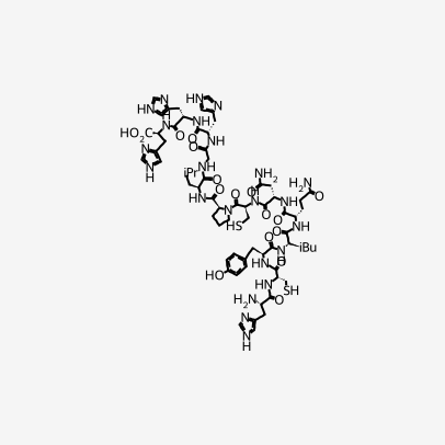 CC[C@H](C)[C@H](NC(=O)[C@H](Cc1ccc(O)cc1)NC(=O)[C@H](CS)NC(=O)[C@@H](N)Cc1c[nH]cn1)C(=O)N[C@@H](CCC(N)=O)C(=O)N[C@@H](CC(N)=O)C(=O)N[C@@H](CS)C(=O)N1CCC[C@H]1C(=O)N[C@@H](CC(C)C)C(=O)NCC(=O)N[C@@H](Cc1c[nH]cn1)C(=O)N[C@@H](Cc1c[nH]cn1)C(=O)N[C@@H](Cc1c[nH]cn1)C(=O)O